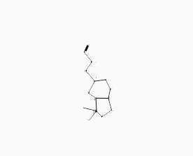 CC1(C)CCC2CCC(CCC=O)CC21